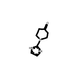 O=C1CCN(c2ncc[nH]2)CC1